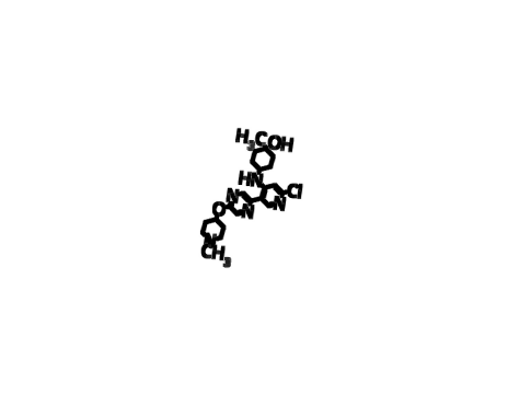 CN1CCC(Oc2cnc(-c3cnc(Cl)cc3NC3CCC(C)(O)CC3)cn2)CC1